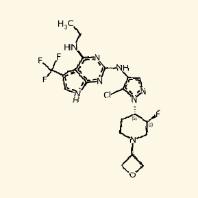 CCNc1nc(Nc2cnn([C@H]3CCN(C4COC4)C[C@@H]3F)c2Cl)nc2[nH]cc(C(F)(F)F)c12